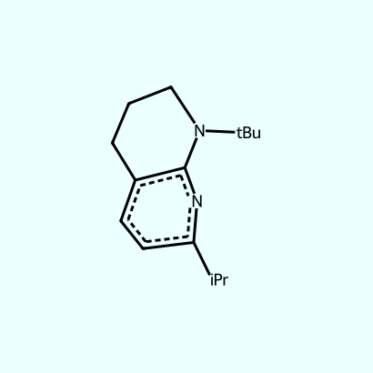 CC(C)c1ccc2c(n1)N(C(C)(C)C)CCC2